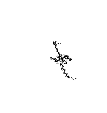 CCCCCCCCCCCCCCCCCCN1C(=O)C2=C(c3ccc(Br)s3)N(CCCCCCCCCCCCCCCCCC)C(=O)C2=C1c1ccc(Br)s1